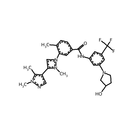 Cc1ccc(C(=O)Nc2cc(N3CCC(O)C3)cc(C(F)(F)F)c2)cc1-n1cc(-c2cnn(C)c2C)n1C